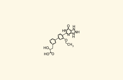 CCOc1cc(-c2cccc(C[C@H](O)C(=O)O)c2)ccc1-c1nc2c(c(=O)[nH]1)NNN2